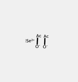 CC(=O)[O-].CC(=O)[O-].[Se+2]